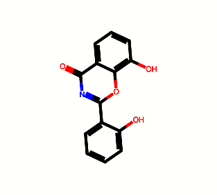 O=c1nc(-c2ccccc2O)oc2c(O)cccc12